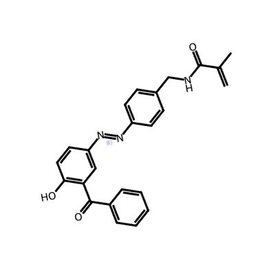 C=C(C)C(=O)NCc1ccc(/N=N/c2ccc(O)c(C(=O)c3ccccc3)c2)cc1